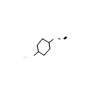 CC1CCC(OP=O)CC1